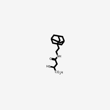 O=C(CC(S)C(=O)O)NCCC12CC3CC(CC(C3)C1)C2